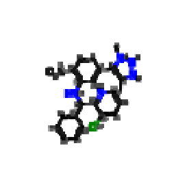 Cc1nnn(C)c1-c1ccc([N+](=O)[O-])c(NC(c2ccccc2)c2ncccc2Cl)c1